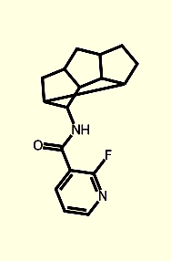 O=C(NC1C2CC3CC4CCC2C4C31)c1cccnc1F